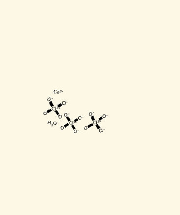 O.[Ga+3].[O-][Cl+3]([O-])([O-])[O-].[O-][Cl+3]([O-])([O-])[O-].[O-][Cl+3]([O-])([O-])[O-]